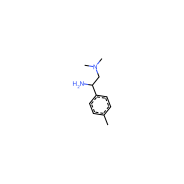 Cc1ccc(C(N)CN(C)C)cc1